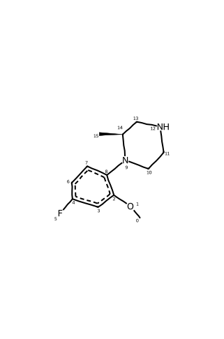 COc1cc(F)ccc1N1CCNC[C@@H]1C